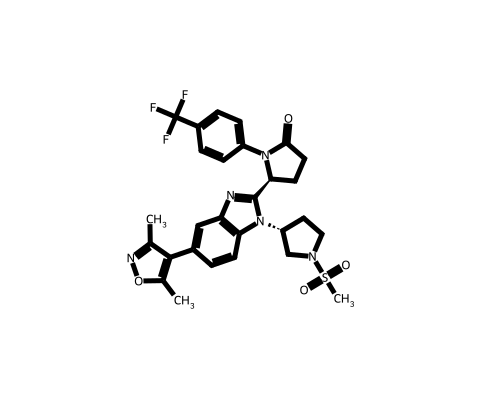 Cc1noc(C)c1-c1ccc2c(c1)nc([C@@H]1CCC(=O)N1c1ccc(C(F)(F)F)cc1)n2[C@@H]1CCN(S(C)(=O)=O)C1